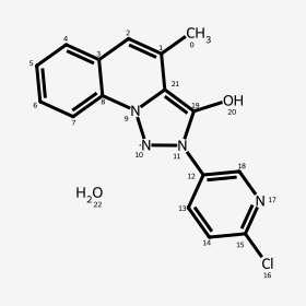 CC1=Cc2ccccc2N2[N]N(c3ccc(Cl)nc3)C(O)=C12.O